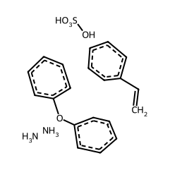 C=Cc1ccccc1.N.N.O=S(=O)(O)O.c1ccc(Oc2ccccc2)cc1